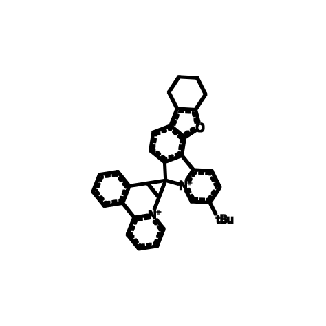 CC(C)(C)c1ccc2[n+](c1)C1(c3ccc4c5c(oc4c3-2)CCCC5)C2c3ccccc3-c3cccc[n+]3C21